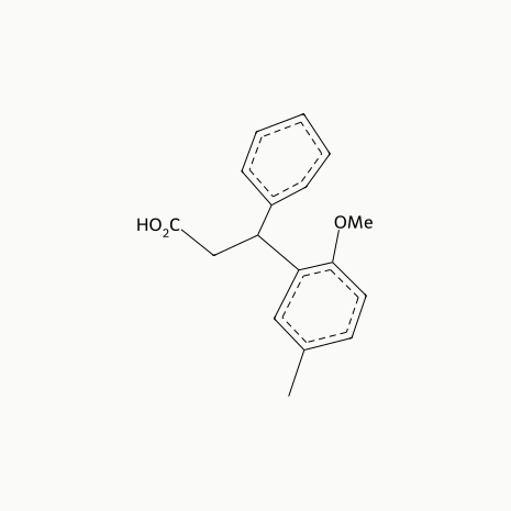 COc1ccc(C)cc1C(CC(=O)O)c1ccccc1